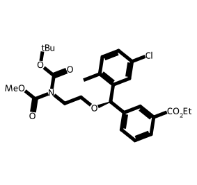 CCOC(=O)c1cccc([C@@H](OCCN(C(=O)OC)C(=O)OC(C)(C)C)c2cc(Cl)ccc2C)c1